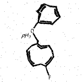 Fc1ccc(Oc2ccccc2)cc1.P